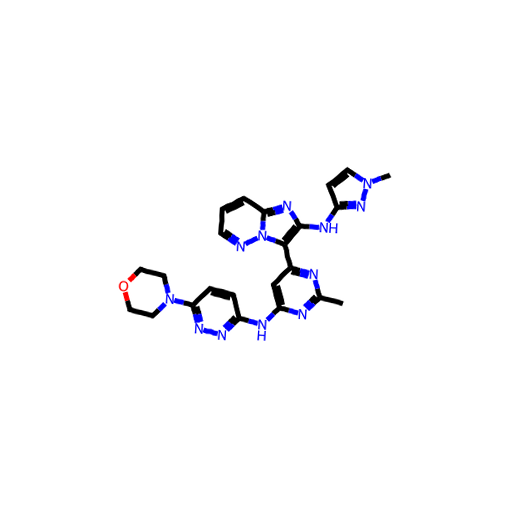 Cc1nc(Nc2ccc(N3CCOCC3)nn2)cc(-c2c(Nc3ccn(C)n3)nc3cccnn23)n1